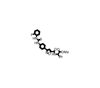 COC(=O)C(NC(=O)c1cc(-c2ccc(NC(=S)Nc3ccccc3F)cc2)no1)C(C)C